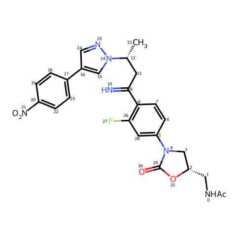 CC(=O)NC[C@H]1CN(c2ccc(C(=N)C[C@@H](C)n3cc(-c4ccc([N+](=O)[O-])cc4)cn3)c(F)c2)C(=O)O1